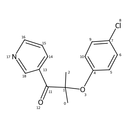 CC(C)(Oc1ccc(Cl)cc1)C(=O)c1cccnc1